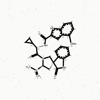 C=[N+](C)[C@@H]1C[C@@]2(CN1C(=O)[C@@H](NC(=O)c1cc3c(OC)cccc3[nH]1)C1CC1)C(=O)Nc1ccccc12